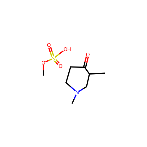 CC1CN(C)CCC1=O.COS(=O)(=O)O